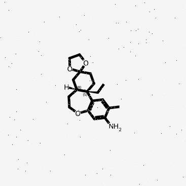 CC[C@]12CCC3(C[C@H]1CCOc1cc(N)c(C)cc12)OCCO3